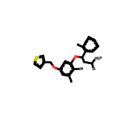 CCC(CC(Oc1cc(OCc2ccsc2)cc(C)c1C#N)c1ccccc1C)C(=O)O